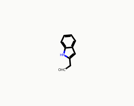 O=CCc1cc2ccccc2[nH]1